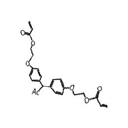 C=CC(=O)OCCOc1ccc(C(C(C)=O)c2ccc(OCCOC(=O)C=C)cc2)cc1